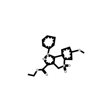 CCOC(=O)c1nn(-c2ccccc2)c2c1CS(=O)(=O)c1cc(OC)ccc1-2